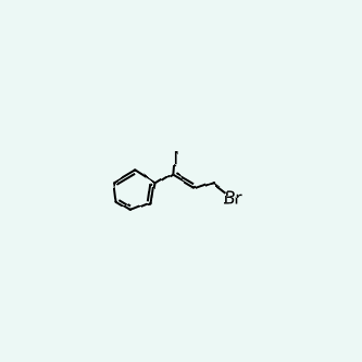 BrCC=C(I)c1ccccc1